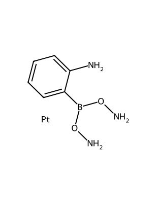 NOB(ON)c1ccccc1N.[Pt]